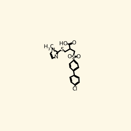 Cn1ccnc1SCC(CS(=O)(=O)c1ccc(-c2ccc(Cl)cc2)cc1)C(=O)O